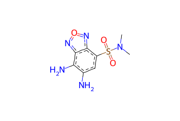 CN(C)S(=O)(=O)c1cc(N)c(N)c2nonc12